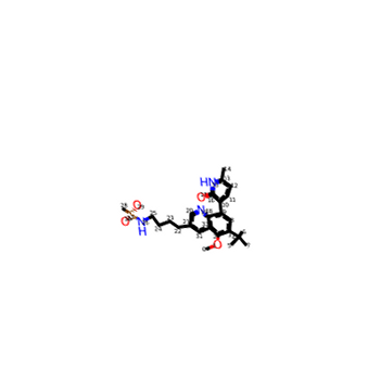 COc1c(C(C)(C)C)cc(-c2ccc(C)[nH]c2=O)c2ncc(CCCCNS(C)(=O)=O)cc12